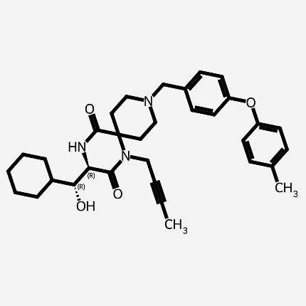 CC#CCN1C(=O)[C@@H]([C@H](O)C2CCCCC2)NC(=O)C12CCN(Cc1ccc(Oc3ccc(C)cc3)cc1)CC2